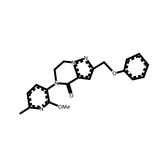 COc1nc(C)ccc1N1CCn2nc(COc3ccccc3)cc2C1=O